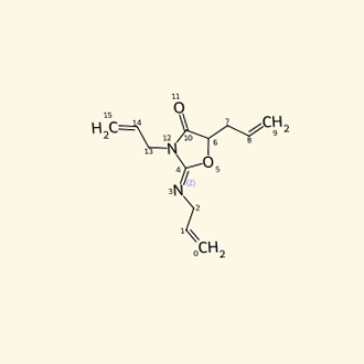 C=CC/N=C1\OC(CC=C)C(=O)N1CC=C